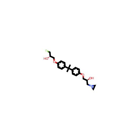 CC(C)(c1ccc(OC[C@H](O)CF)cc1)c1ccc(OC[C@@H](O)CN2CC2)cc1